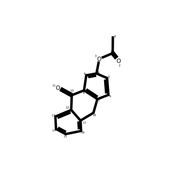 CC(=O)Oc1ccc2c(c1)C(=O)c1ccccc1C2